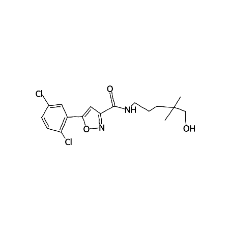 CC(C)(CO)CCCNC(=O)c1cc(-c2cc(Cl)ccc2Cl)on1